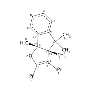 CC(C)C1=[N+](C(C)C)[C@@]2(C)C(C)(C)c3ccccc3[C@@]2(C)O1